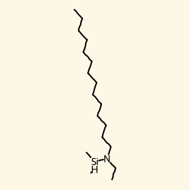 CCCCCCCCCCCCCCN(CC)[SiH](C)C